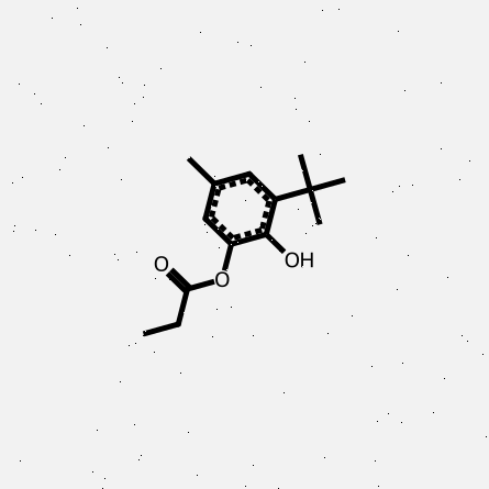 CCC(=O)Oc1cc(C)cc(C(C)(C)C)c1O